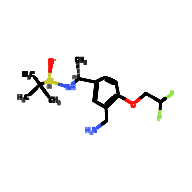 C[C@@H](N[S@+]([O-])C(C)(C)C)c1ccc(OCC(F)F)c(CN)c1